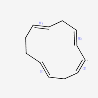 [C]1=C\C/C=C/CC/C=C/C/C=C/1